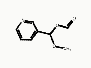 COC(OC=O)c1cccnc1